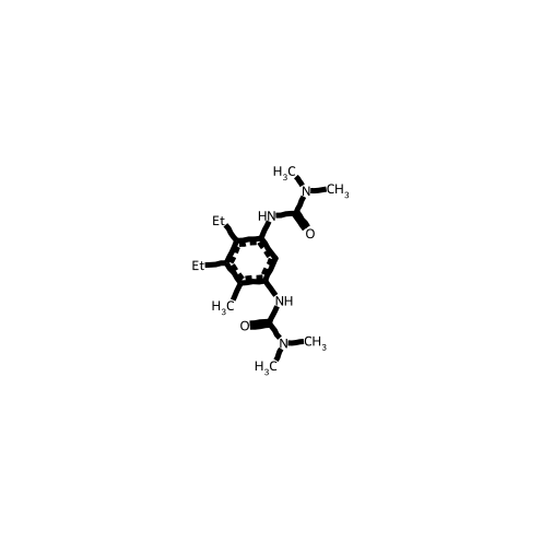 CCc1c(NC(=O)N(C)C)cc(NC(=O)N(C)C)c(C)c1CC